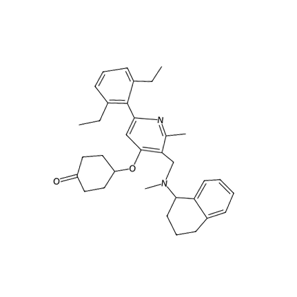 CCc1cccc(CC)c1-c1cc(OC2CCC(=O)CC2)c(CN(C)C2CCCc3ccccc32)c(C)n1